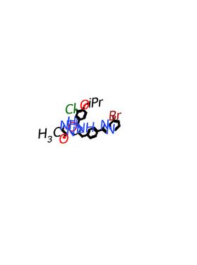 CC(C)Oc1ccc(C(=O)N[C@H](CNC(=O)C(C)N)Cc2ccc(-c3cn4cccc(Br)c4n3)cc2)cc1Cl